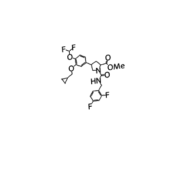 COC(=O)C1CC(c2ccc(OC(F)F)c(OCC3CC3)c2)CN1C(=O)NCc1ccc(F)cc1F